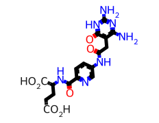 Nc1nc(N)c(CC(=O)Nc2ccc(C(=O)NC(CCC(=O)O)C(=O)O)nc2)c(=O)[nH]1